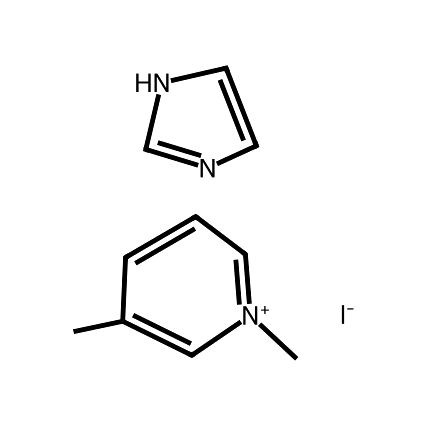 Cc1ccc[n+](C)c1.[I-].c1c[nH]cn1